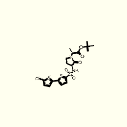 C[C@@H](C(=O)OC(C)(C)C)N1CC[C@H](NS(=O)(=O)c2ccc(-c3ccc(Cl)s3)s2)C1=O